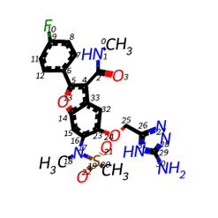 CNC(=O)c1c(-c2ccc(F)cc2)oc2cc(N(C)S(C)(=O)=O)c(OCc3nnc(N)[nH]3)cc12